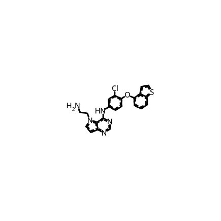 NCCn1ccc2ncnc(Nc3ccc(Oc4cccc5sccc45)c(Cl)c3)c21